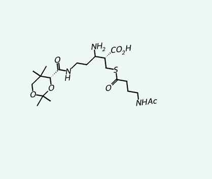 CC(=O)NCCCC(=O)SC[C@@H](C(=O)O)C(N)CCNC(=O)[C@@H]1OC(C)(C)OCC1(C)C